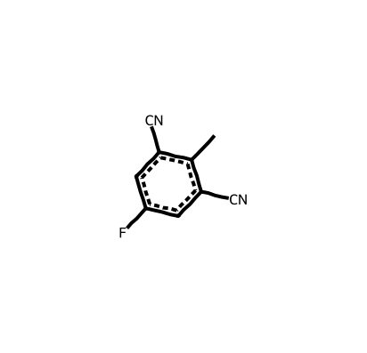 Cc1c(C#N)cc(F)cc1C#N